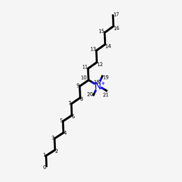 CCCCCCCCCCC(CCCCCCC)[N+](C)(C)C